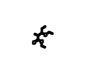 CCOC(=O)C(C)C(CC)OCC